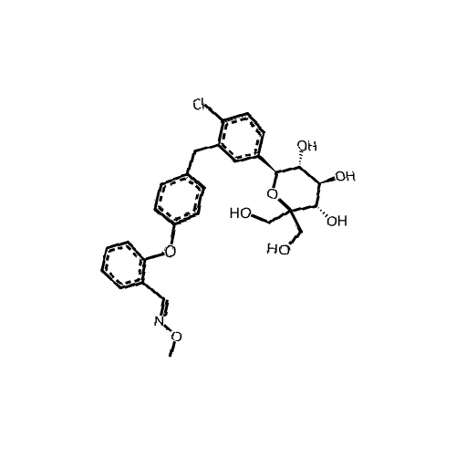 CO/N=C/c1ccccc1Oc1ccc(Cc2cc([C@@H]3OC(CO)(CO)[C@@H](O)[C@H](O)[C@H]3O)ccc2Cl)cc1